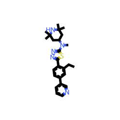 CCc1cc(-c2cccnc2)ccc1-c1nnc(N(C)C2CC(C)(C)NC(C)(C)C2)s1